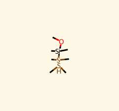 CO[Si](C)(C)S(C)(C)[SH](C)C